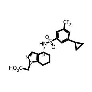 O=C(O)Cn1ncc2c1CCC[C@H]2NS(=O)(=O)c1cc(C2CC2)cc(C(F)(F)F)c1